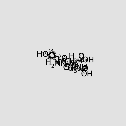 CC(C)(NC(=O)[C@@H](N)Cc1ccc(O)cc1)C(=O)N[C@@H](CCC(=O)O)C(=O)NCC(=O)O